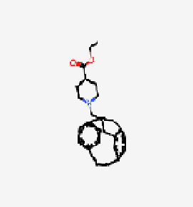 CCOC(=O)C1CCN(CCCc2cc3ccc2CCc2ccc(cc2)CC3)CC1